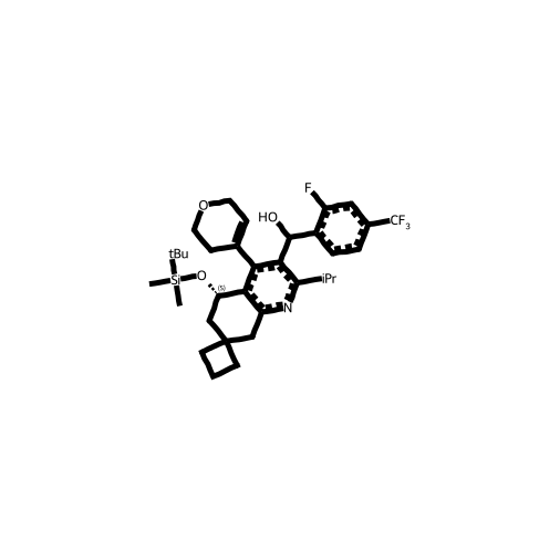 CC(C)c1nc2c(c(C3=CCOCC3)c1C(O)c1ccc(C(F)(F)F)cc1F)[C@@H](O[Si](C)(C)C(C)(C)C)CC1(CCC1)C2